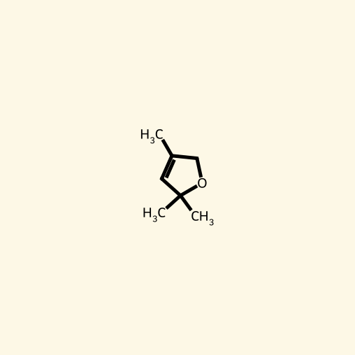 CC1=CC(C)(C)OC1